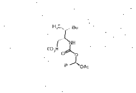 CC[C@@H](C)[C@@H](C)[C@@H](CC(=O)O)NC(=O)O[C@@H](OC(C)=O)C(C)C